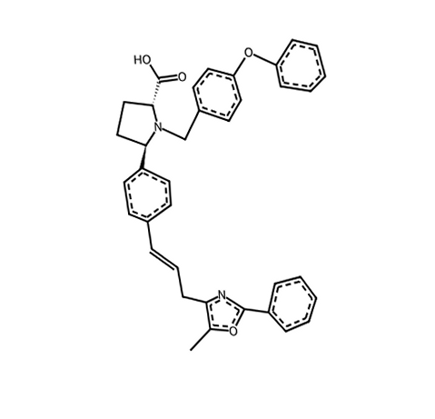 Cc1oc(-c2ccccc2)nc1C/C=C/c1ccc([C@H]2CC[C@H](C(=O)O)N2Cc2ccc(Oc3ccccc3)cc2)cc1